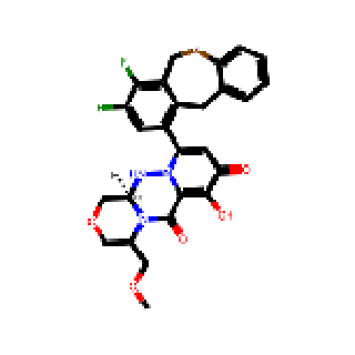 COCC1COC[C@H]2Nn3c(-c4cc(F)c(F)c5c4Cc4ccccc4SC5)cc(=O)c(O)c3C(=O)N12